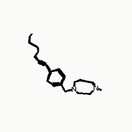 CCCCC#Cc1ccc(CN2CCCN(C)CC2)cc1